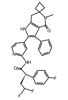 CN1C(=O)c2c([nH]c(-c3ccnc(NC(=O)[C@H](CC(F)F)c4ccc(F)cc4)c3)c2-c2ccccc2)CC12CCC2